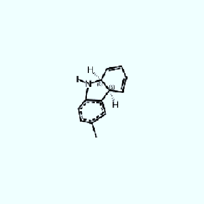 Cc1ccc2c(c1)[C@@H]1C=CC=C[C@@H]1N2I